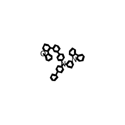 c1ccc(-c2ccc(N(c3ccc(-c4cccc(-c5cccc6oc7ccccc7c56)c4)cc3)c3cccc(-n4c5ccccc5c5ccccc54)c3)cc2)cc1